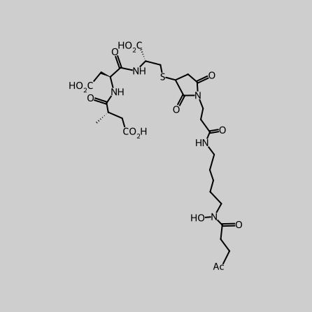 CC(=O)CCC(=O)N(O)CCCCCNC(=O)CCN1C(=O)CC(SC[C@H](NC(=O)[C@H](CC(=O)O)NC(=O)[C@@H](C)CC(=O)O)C(=O)O)C1=O